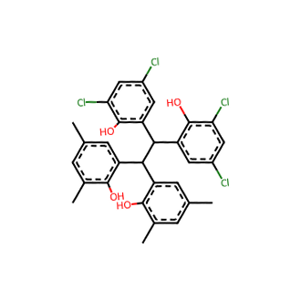 Cc1cc(C)c(O)c(C(c2cc(C)cc(C)c2O)C(c2cc(Cl)cc(Cl)c2O)c2cc(Cl)cc(Cl)c2O)c1